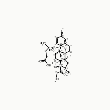 CCCCC(=O)O.C[C@@H]1C[C@H]2[C@@H]3CCC4=CC(=O)C=C[C@]4(C)[C@@]3(F)[C@@H](O)C[C@]2(C)[C@@]1(O)C(=O)CO